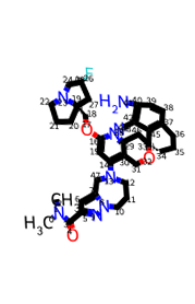 CN(C)C(=O)c1cc2n(n1)CCCN(c1cc(OC[C@@]34CCCN3C[C@H](F)C4)nc3c1CO[C@@]1(CCCc4ccc(N)c(C#N)c41)C3)C2